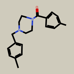 Cc1ccc(CN2CCN(C(=O)c3ccc(C)cc3)CC2)cc1